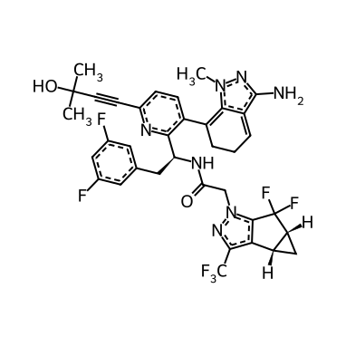 Cn1nc(N)c2c1=C(c1ccc(C#CC(C)(C)O)nc1[C@H](Cc1cc(F)cc(F)c1)NC(=O)Cn1nc(C(F)(F)F)c3c1C(F)(F)[C@@H]1C[C@H]31)CCC=2